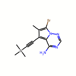 Cc1c(C#C[Si](C)(C)C)c2c(N)ncnn2c1Br